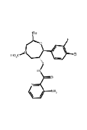 CC(C)(C)C1CN(C(=O)O)C[C@@H](CNC(=O)c2ncccc2N)[C@H](c2ccc(Cl)c(F)c2)O1